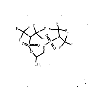 CC(COS(=O)(=O)C(C(F)(F)F)C(F)(F)F)OS(=O)(=O)C(C(F)(F)F)C(F)(F)F